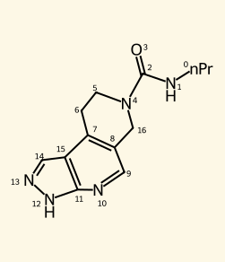 CCCNC(=O)N1CCc2c(cnc3[nH]ncc23)C1